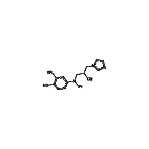 CCCc1cc(N(CC(O)Cn2ccnc2)C(C)C)ccc1O